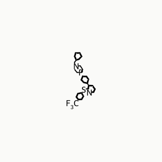 FC(F)(F)c1ccc(Sc2ncccc2-c2ccc(P3CCN(Cc4ccccc4)CC3)cc2)cc1